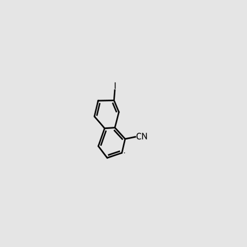 N#Cc1[c]ccc2ccc(I)cc12